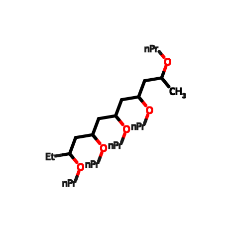 CCCOC(C)CC(CC(CC(CC(CC)OCCC)OCCC)OCCC)OCCC